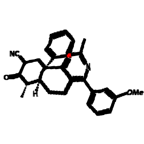 COc1cccc(-c2nc(C)nc3c2CC[C@H]2[C@H](C)C(=O)C(C#N)C[C@@]32c2ccccc2)c1